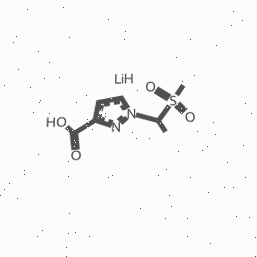 CC(n1ccc(C(=O)O)n1)S(C)(=O)=O.[LiH]